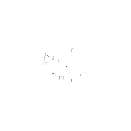 CCCCc1cnc(Nc2ccc(-c3nnn[nH]3)cn2)c(Oc2ccc(F)cc2F)c1